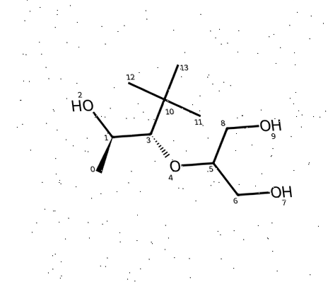 C[C@@H](O)[C@@H](OC(CO)CO)C(C)(C)C